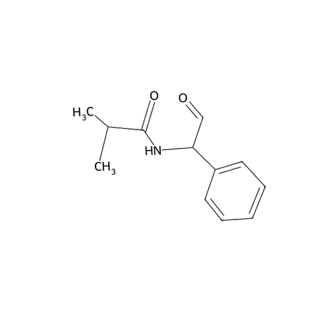 CC(C)C(=O)NC(C=O)c1ccccc1